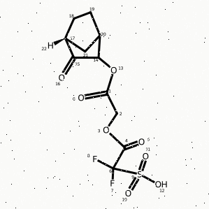 O=C(COC(=O)C(F)(F)S(=O)(=O)O)OC1C(=O)[C@@H]2CCC1C2